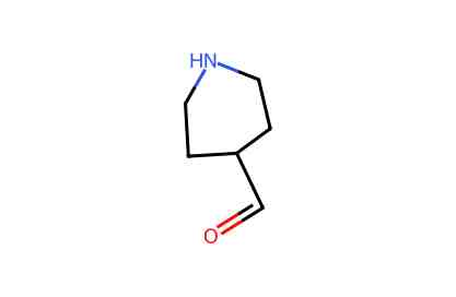 O=CC1CCNCC1